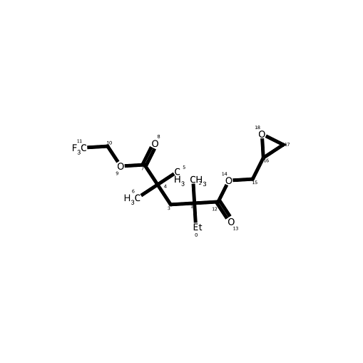 CCC(C)(CC(C)(C)C(=O)OCC(F)(F)F)C(=O)OCC1CO1